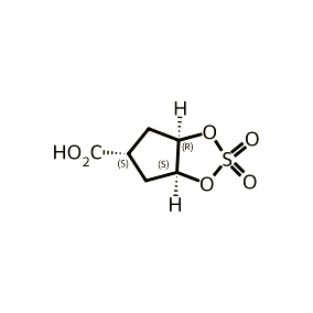 O=C(O)[C@H]1C[C@@H]2OS(=O)(=O)O[C@@H]2C1